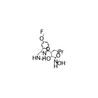 CC(C)C[C@H](C(=O)N1CCNC[C@@]1(C)c1cccc(OCF)c1)[C@H](O)C(=O)NO